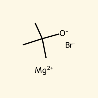 CC(C)(C)[O-].[Br-].[Mg+2]